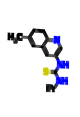 Cc1ccc2ncc(NC(=S)NC(C)C)cc2c1